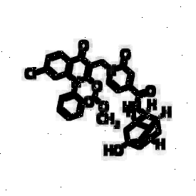 COC(=O)Oc1c(Cn2ccc(C(=O)N[C@@H]3[C@@H]4C[C@@H]5C[C@H]3C[C@](O)(C5)C4)cc2=O)c(=O)c2ccc(Cl)cc2n1-c1ccccc1